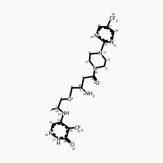 C[C@@H](COC[C@H](N)CC(=O)N1CCN(c2ncc(C(F)(F)F)cn2)CC1)Nc1cn[nH]c(=O)c1C(F)(F)F